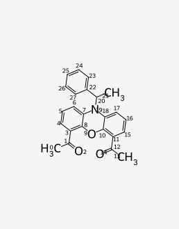 CC(=O)c1cccc2c1Oc1c(C(C)=O)cccc1N2C(C)c1ccccc1